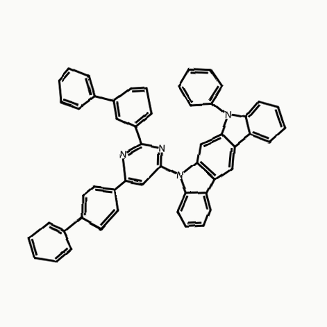 c1ccc(-c2ccc(-c3cc(-n4c5ccccc5c5cc6c7ccccc7n(-c7ccccc7)c6cc54)nc(-c4cccc(-c5ccccc5)c4)n3)cc2)cc1